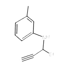 [C]#CC(CC)Nc1cccc(C)c1